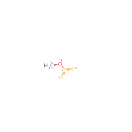 COP(=S)=S